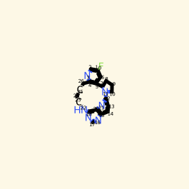 Fc1cnc2c(c1)C1CCCN1c1ccc3ncnc(c3n1)NCCCC2